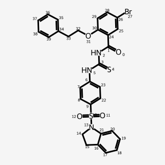 O=C(NC(=S)Nc1ccc(S(=O)(=O)N2CCc3ccccc32)cc1)c1cc(Br)ccc1OCCc1ccccc1